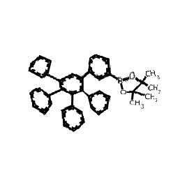 CC1(C)OB(c2cccc(-c3cc(-c4ccccc4)c(-c4ccccc4)c(-c4ccccc4)c3-c3ccccc3)c2)OC1(C)C